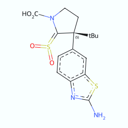 CC(C)(C)[C@]1(c2ccc3nc(N)sc3c2)CCN(C(=O)O)C1=S(=O)=O